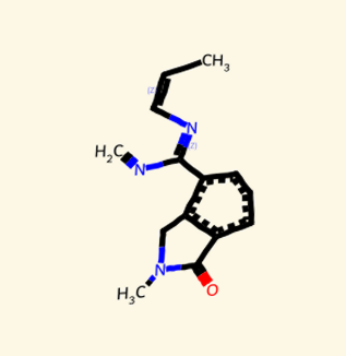 C=N/C(=N\C=C/C)c1cccc2c1CN(C)C2=O